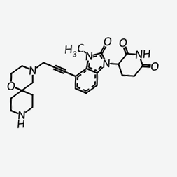 Cn1c(=O)n(C2CCC(=O)NC2=O)c2cccc(C#CCN3CCOC4(CCNCC4)C3)c21